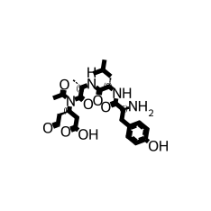 CC(=O)N(C(=O)[C@H](C)NC(=O)[C@H](CC(C)C)NC(=O)[C@@H](N)Cc1ccc(O)cc1)[C@H](CC=O)CC(=O)O